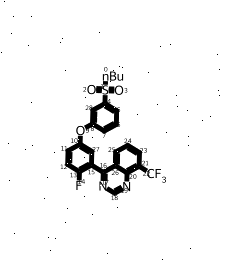 CCCCS(=O)(=O)c1cccc(Oc2ccc(F)c(-c3ncnc4c(C(F)(F)F)cccc34)c2)c1